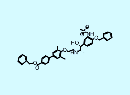 Cc1cc(-c2ccc(C(=O)OCc3ccccc3)cc2)cc(C)c1OCCN[C@@H](C)[C@H](O)c1ccc(OCc2ccccc2)c(NS(C)(=O)=O)c1